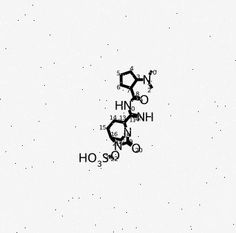 CN(C)C1CCCC1C(=O)NC(=N)C1CCC2CN1C(=O)N2OS(=O)(=O)O